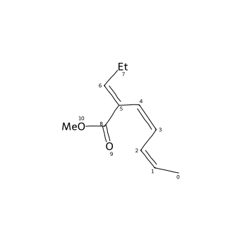 C\C=C/C=C\C(=C/CC)C(=O)OC